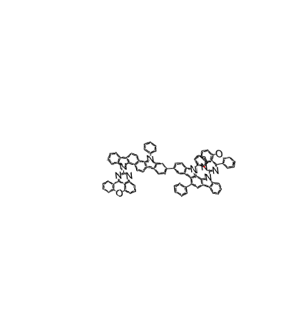 c1ccc(-c2cc3c4ccccc4n(-c4nc5c6c(cccc6n4)Oc4ccccc4-5)c3c3c2c2cc(-c4ccc5c6ccc7c(ccc8c9ccccc9n(-c9nc%10c%11c(cccc%11n9)Oc9ccccc9-%10)c87)c6n(-c6ccccc6)c5c4)ccc2n3-c2ccccc2)cc1